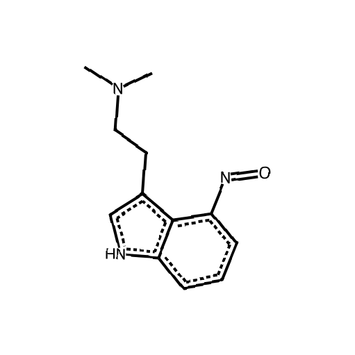 CN(C)CCc1c[nH]c2cccc(N=O)c12